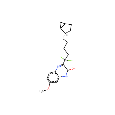 COc1ccc2c(c1)NC(O)C(C(F)(F)CCCC[C@H]1CCC3CC31)=N2